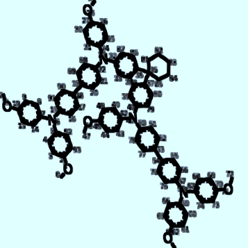 COc1ccc(N(c2ccc(OC)cc2)c2ccc(-c3ccc(N(c4ccc(OC)cc4)c4ccc(C5(c6ccc(N(c7ccc(OC)cc7)c7ccc(-c8ccc(N(c9ccc(OC)cc9)c9ccc(OC)cc9)cc8)cc7)cc6)CCCCC5)cc4)cc3)cc2)cc1